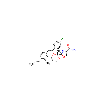 Cc1c(CCC(=O)O)ccc(CCc2ccc(Cl)cc2)c1C1CCOC(C)(c2nc(C(N)=O)co2)O1